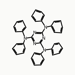 c1ccc(N(c2ccccc2)c2nc(N(c3ccccc3)c3ccccc3)nc(N(c3ccccc3)c3ccccc3)n2)cc1